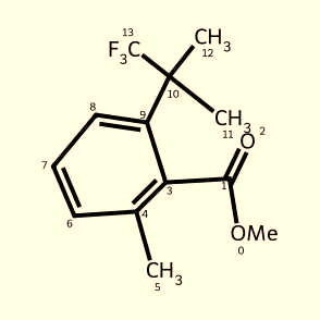 COC(=O)c1c(C)cccc1C(C)(C)C(F)(F)F